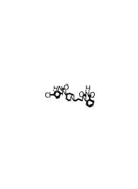 O=c1[nH]c(=O)n(CCCN2CCC(n3c(=O)[nH]c4cc(Cl)ccc43)CC2)c2ccccc12